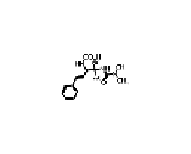 CC(=O)C(NC(=O)N(C)C)(C(C)=O)C(C=Cc1ccccc1)NC(=O)O